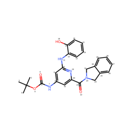 CC(C)(C)OC(=O)Nc1cc(Nc2ccccc2O)nc(C(=O)N2Cc3ccccc3C2)c1